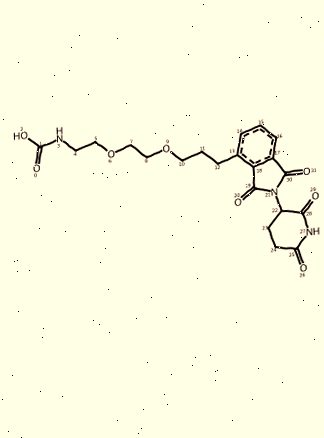 O=C(O)NCCOCCOCCCc1cccc2c1C(=O)N(C1CCC(=O)NC1=O)C2=O